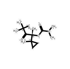 CN(C)C(=O)O[C@@](C)(C(=O)C(C)(C)C)C1(C)CC1